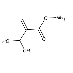 C=C(C(=O)O[SiH3])C(O)O